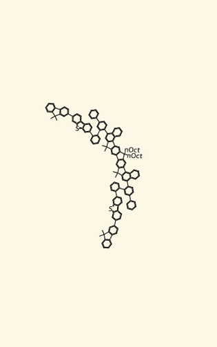 CCCCCCCCC1(CCCCCCCC)c2cc3c(cc2-c2cc4c(cc21)-c1c(cc(-c2ccc(-c5ccccc5)cc2-c2ccccc2-c2ccc5c(c2)sc2cc(-c6ccc7c(c6)C(C)(C)c6ccccc6-7)ccc25)c2ccccc12)C4(C)C)C(C)(C)c1cc(-c2ccc(-c4ccccc4)cc2-c2ccccc2-c2ccc4c(c2)sc2cc(-c5ccc6c(c5)C(C)(C)c5ccccc5-6)ccc24)c2ccccc2c1-3